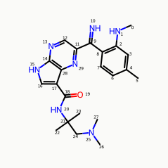 CNc1cc(C)ccc1C(=N)c1cnc2[nH]cc(C(=O)NC(C)(C)CN(C)C)c2n1